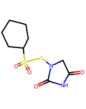 O=C1CN(SS(=O)(=O)C2CCCCC2)C(=O)N1